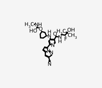 CNC(O)O[C@@H]1CCC[C@H](Nc2cc(-c3ccc4cc(C#N)cnn34)ncc2C(=O)NC[C@@H](F)C(C)(C)O)C1